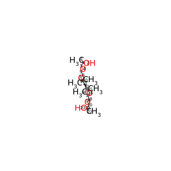 CC(O)COCCOC(C)(C)C#CC(C)(C)OCCOCC(C)O